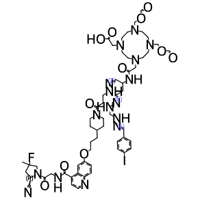 CC1(F)C[C@H](C#N)N(C(=O)CNC(=O)c2ccnc3ccc(OCCCC4CCN(C(=O)CCN/N=C\C(C/C=N/NCN/N=C/c5ccc(I)cc5)NC(=O)CN5CCN(COC=O)CCN(COC=O)CCN(CC(=O)O)CC5)CC4)cc23)C1